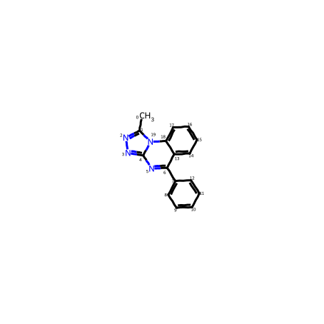 Cc1nnc2nc(-c3ccccc3)c3ccccc3n12